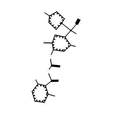 Cc1cc(C(C)(C#N)c2ccc(Cl)cc2)c(Cl)cc1NC(=O)NC(=O)c1c(F)cccc1F